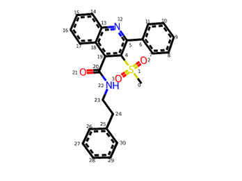 CS(=O)(=O)c1c(-c2ccccc2)nc2ccccc2c1C(=O)NCCc1ccccc1